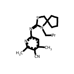 Cc1cc(/N=C2/SCC3(CCCC3)N2CC(C)C)nc(C)c1C#N